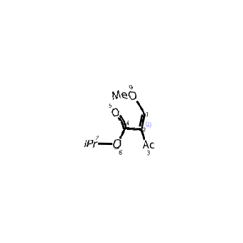 CO/C=C(/C(C)=O)C(=O)OC(C)C